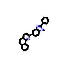 Cn1c(-c2ccccc2)nc2cc(-c3ccc4ccc5ccccc5c4n3)ccc21